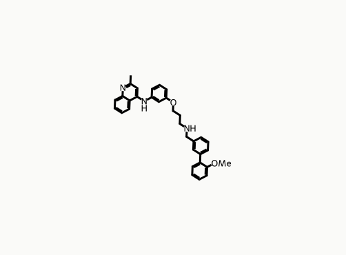 COc1ccccc1-c1cccc(CNCCCOc2cccc(Nc3cc(C)nc4ccccc34)c2)c1